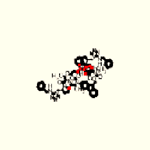 C[C@@H](OCCO[C@H](C)[C@H](NC(=O)[C@H](C)N(C)C(=O)OCC1c2ccccc2-c2ccccc21)C(=O)N1CCC[C@H]1Cn1nnnc1NCc1ccccc1)[C@H](NC(=O)[C@H](C)N(C)C(=O)OCC1c2ccccc2-c2ccccc21)C(=O)N1CCC[C@H]1Cn1nnnc1NCc1ccccc1